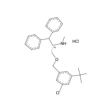 CN[C@H](COCc1cc(Cl)cc(C(C)(C)C)c1)C(c1ccccc1)c1ccccc1.Cl